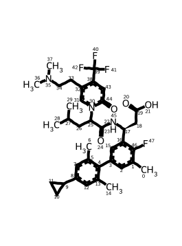 Cc1cc(-c2c(C)cc(C3CC3)cc2C)cc([C@H](CC(=O)O)NC(=O)C(CC(C)C)n2cc(CCN(C)C)c(C(F)(F)F)cc2=O)c1F